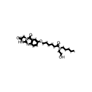 CCCCCN(CCO)C(=O)CCCCCOc1ccc2nc3n(c(=O)c2c1)CC(=O)N3